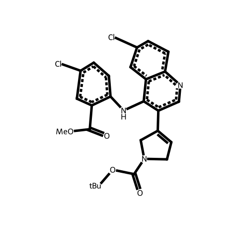 COC(=O)c1cc(Cl)ccc1Nc1c(C2=CCN(C(=O)OC(C)(C)C)C2)cnc2ccc(Cl)cc12